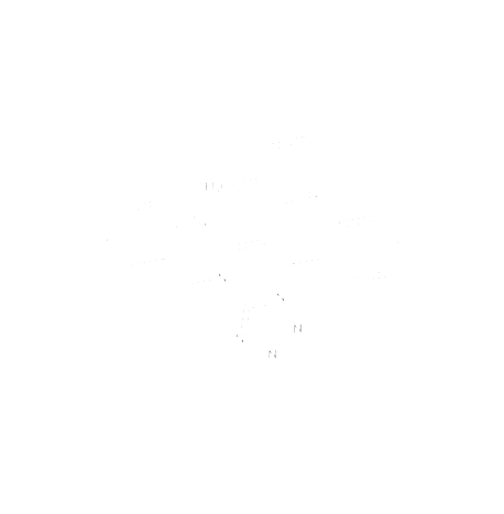 CC1=CC(c2ccccc2-c2cccc(C)c2)n2nnnc2N1Cc1ccccc1